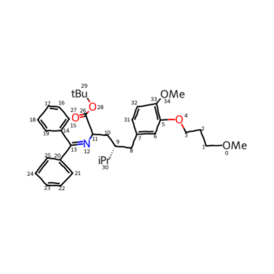 COCCCOc1cc(C[C@@H](CC(N=C(c2ccccc2)c2ccccc2)C(=O)OC(C)(C)C)C(C)C)ccc1OC